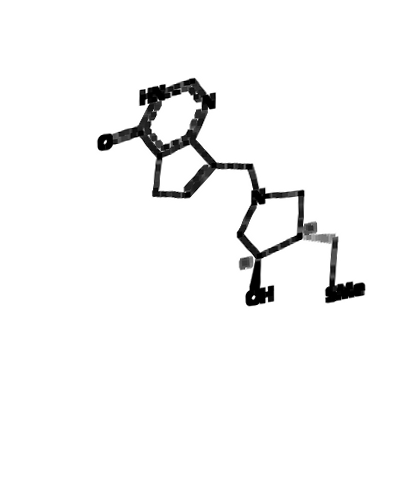 CSC[C@H]1CN(CC2=CCc3c2nc[nH]c3=O)C[C@@H]1O